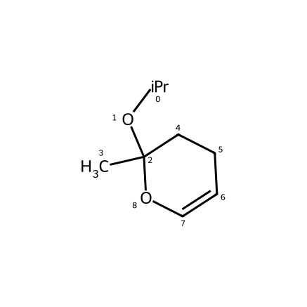 CC(C)OC1(C)CCC=CO1